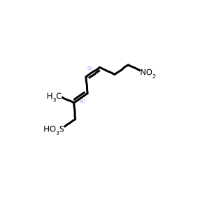 C/C(=C\C=C/CC[N+](=O)[O-])CS(=O)(=O)O